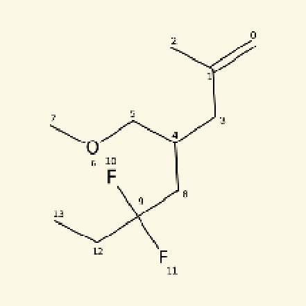 C=C(C)CC(COC)CC(F)(F)CC